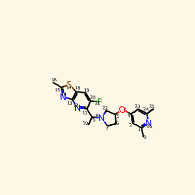 Cc1cc(OC2CCN(C(C)c3nc4nc(C)sc4cc3F)C2)cc(C)n1